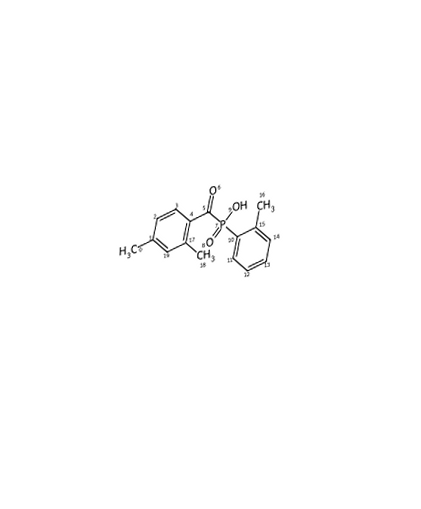 Cc1ccc(C(=O)P(=O)(O)c2ccccc2C)c(C)c1